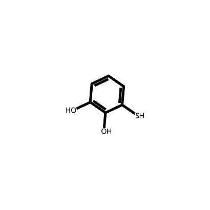 Oc1cccc(S)c1O